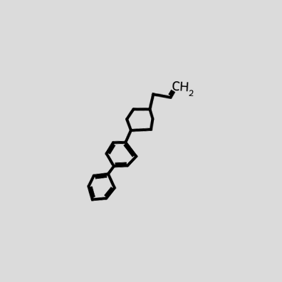 C=CCC1CCC(c2ccc(-c3ccccc3)cc2)CC1